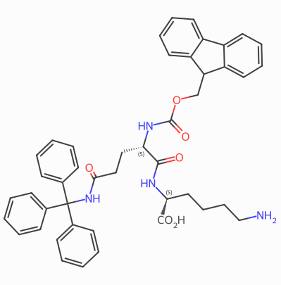 NCCCC[C@H](NC(=O)[C@H](CCC(=O)NC(c1ccccc1)(c1ccccc1)c1ccccc1)NC(=O)OCC1c2ccccc2-c2ccccc21)C(=O)O